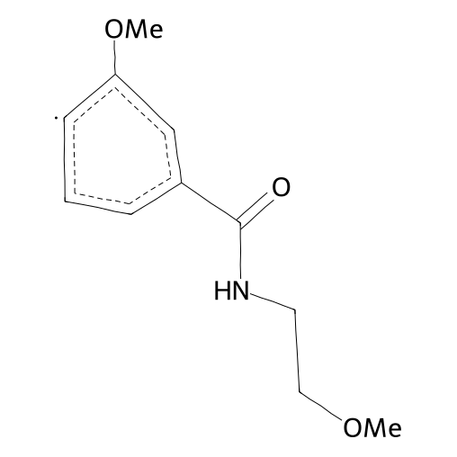 COCCNC(=O)c1cc[c]c(OC)c1